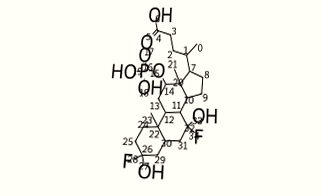 CC(CCC(=O)O)C1CCC2C3C(CC(OP(=O)(O)O)C12C)C1(C)CCC(O)(F)CC1CC3(O)F